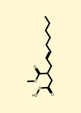 CCCCC/C=C/CC(CC(=O)OO)C(=O)OC